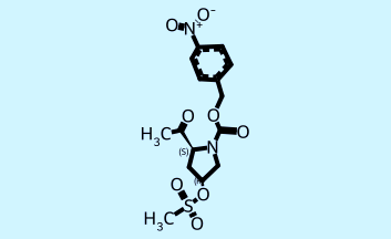 CC(=O)[C@@H]1C[C@@H](OS(C)(=O)=O)CN1C(=O)OCc1ccc([N+](=O)[O-])cc1